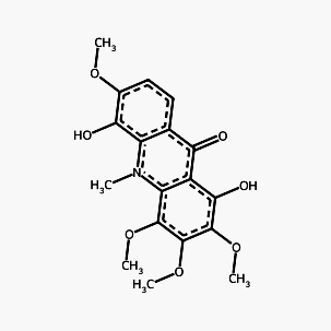 COc1ccc2c(=O)c3c(O)c(OC)c(OC)c(OC)c3n(C)c2c1O